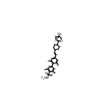 CCCC12COC(C3CCC(/C=C/c4cc(F)c(-c5cc(F)c(C(F)(F)OC(F)(F)F)c(F)c5)c(F)c4)CC3)(OC1)O2